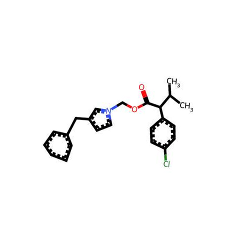 CC(C)C(C(=O)OCn1ccc(Cc2ccccc2)c1)c1ccc(Cl)cc1